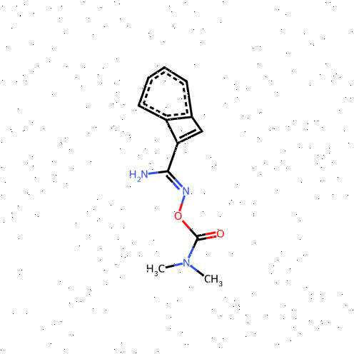 CN(C)C(=O)ON=C(N)C1=Cc2ccccc21